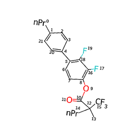 CCCc1ccc(-c2ccc(OC(=O)C(C)(CCC)C(F)(F)F)c(F)c2F)cc1